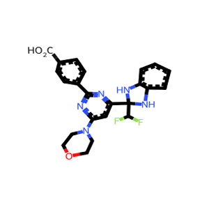 O=C(O)c1ccc(-c2nc(N3CCOCC3)cc(C3(C(F)F)Nc4ccccc4N3)n2)cc1